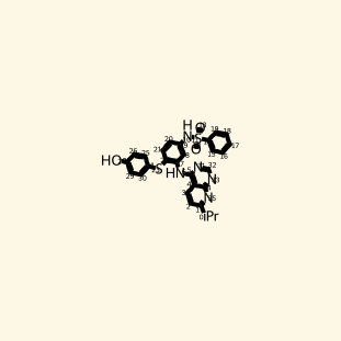 CC(C)c1ccc2c(Nc3cc(NS(=O)(=O)c4ccccc4)ccc3Sc3ccc(O)cc3)ncnc2n1